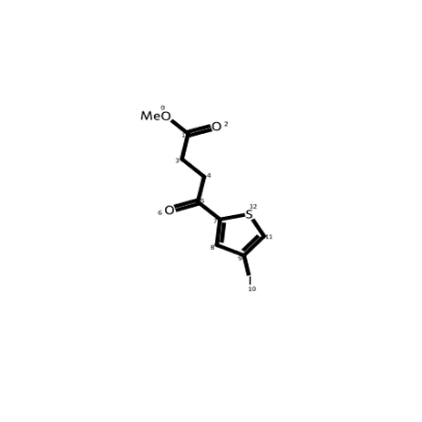 COC(=O)CCC(=O)c1cc(I)cs1